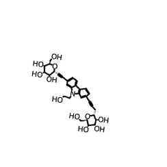 OCCn1c2cc(C#CC[C@H]3O[C@H](CO)[C@@H](O)[C@H](O)[C@@H]3O)ccc2c2ccc(C#C[C@H]3O[C@H](CO)[C@@H](O)[C@H](O)[C@@H]3O)cc21